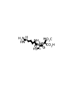 N=C(N)NCCC[C@H](N)C(=O)N[C@@H](CS)C(=O)N[C@@H](CC(=O)O)C(=O)O